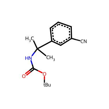 CC(C)(C)OC(=O)NC(C)(C)c1cccc(C#N)c1